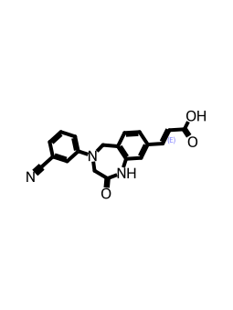 N#Cc1cccc(N2CC(=O)Nc3cc(/C=C/C(=O)O)ccc3C2)c1